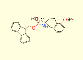 CC(C)Oc1cccc2c1CCC(NC(=O)OCC1c3ccccc3-c3ccccc31)(C(=O)O)C2